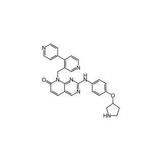 O=c1ccc2cnc(Nc3ccc(OC4CCNC4)cc3)nc2n1Cc1cnccc1-c1ccncc1